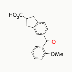 COc1ccccc1C(=O)c1ccc2c(c1)CC(C(=O)O)C2